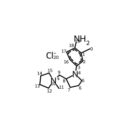 Cc1cc(N2CCCC2C[N+]2(C)CCCC2)ccc1N.[Cl-]